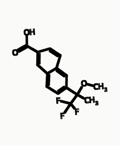 COC(C)(c1ccc2cc(C(=O)O)ccc2c1)C(F)(F)F